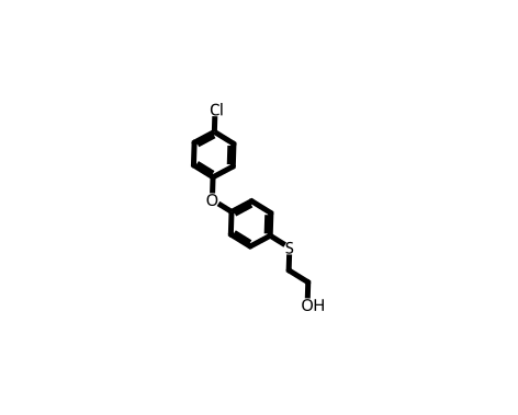 OCCSc1ccc(Oc2ccc(Cl)cc2)cc1